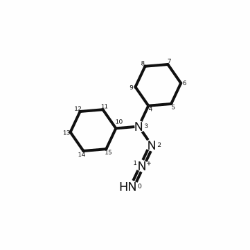 N=[N+]=NN(C1CCCCC1)C1CCCCC1